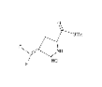 COC(=O)C1CC(=C(F)F)CN1.Cl